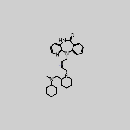 CN(CC1CCCCN1C/C=C\CN1c2ccccc2C(=O)Nc2cccnc21)C1CCCCC1